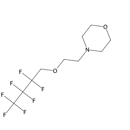 FC(F)(F)C(F)(F)C(F)(F)COCCN1CCOCC1